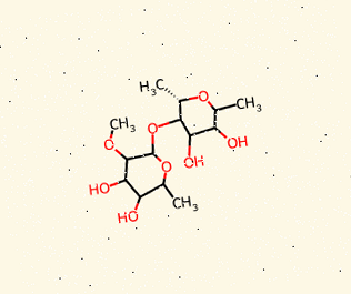 COC1C(OC2C(O)C(O)C(C)O[C@H]2C)OC(C)C(O)C1O